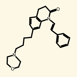 O=C1CCc2ccc(CCCCN3CCOCC3)cc2N1C=Cc1ccccc1